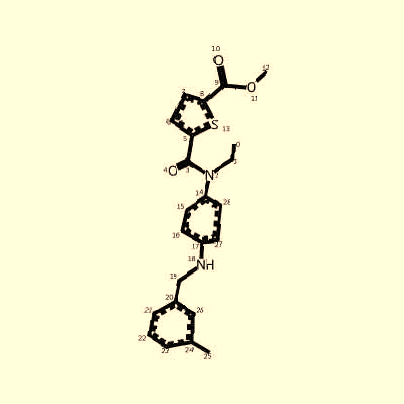 CCN(C(=O)c1ccc(C(=O)OC)s1)c1ccc(NCc2cccc(C)c2)cc1